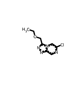 CCOCc1nnc2cnc(Cl)cn12